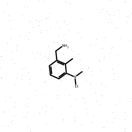 CCN(C)c1cccc(CN)c1C